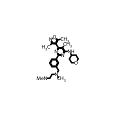 CNCCN(C)Cc1cccc(-c2nc(NC3CCOCC3)c(C)c(-c3c(C)noc3C)n2)c1